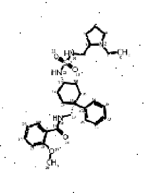 CCN1CCCC1CNS(=O)(=O)N[C@H]1CC[C@](CNC(=O)c2ccccc2OC)(c2ccccc2)CC1